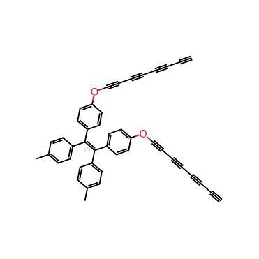 C#CC#CC#CC#COc1ccc(/C(=C(/c2ccc(C)cc2)c2ccc(OC#CC#CC#CC#C)cc2)c2ccc(C)cc2)cc1